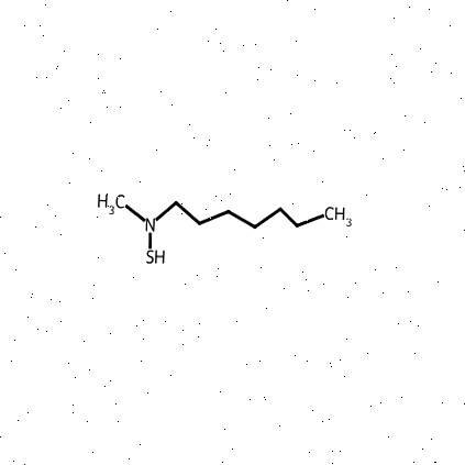 CCCCCCCN(C)S